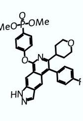 COP(=O)(OC)c1ccc(Oc2nc(C3CCOCC3)c(-c3ccc(F)cc3)c3cc4cn[nH]c4cc23)cc1